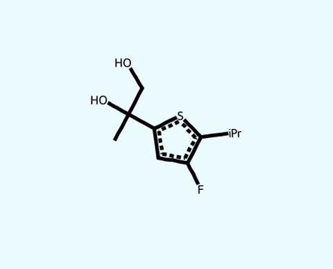 CC(C)c1sc(C(C)(O)CO)cc1F